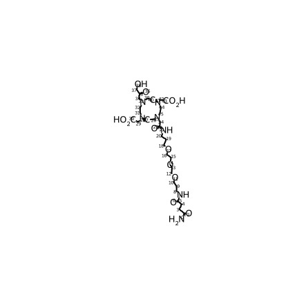 NC(=O)CCC(=O)NCCCOCCOCCOCCCNC(=O)CN1CCN(CC(=O)O)CCN(CC(=O)CO)CCN(CC(=O)O)CC1